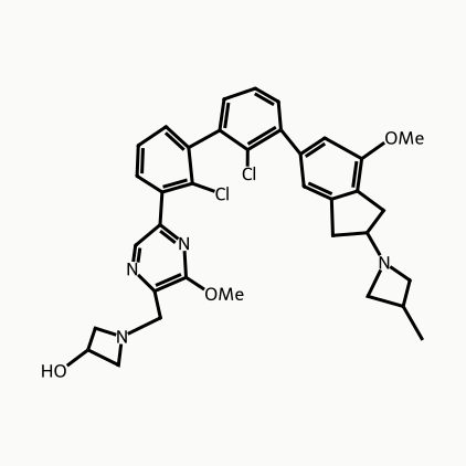 COc1cc(-c2cccc(-c3cccc(-c4cnc(CN5CC(O)C5)c(OC)n4)c3Cl)c2Cl)cc2c1CC(N1CC(C)C1)C2